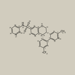 Cc1ccc(-c2cc(C(F)(F)F)ccc2[C@H]2CCOc3cc(S(=O)(=O)Nc4cccnn4)ccc32)cn1